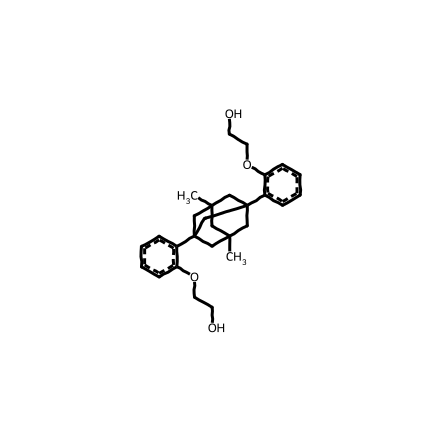 CC12CC3(C)CC(c4ccccc4OCCO)(C1)CC(c1ccccc1OCCO)(C2)C3